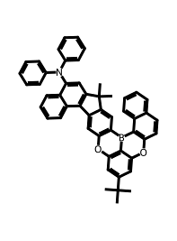 CC(C)(C)c1cc2c3c(c1)Oc1ccc4ccccc4c1B3c1cc3c(cc1O2)-c1c(cc(N(c2ccccc2)c2ccccc2)c2ccccc12)C3(C)C